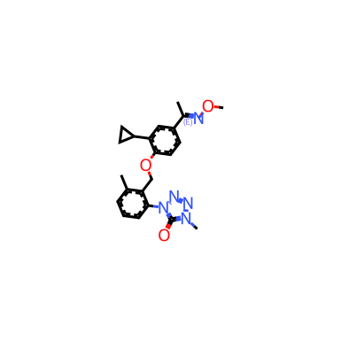 CO/N=C(\C)c1ccc(OCc2c(C)cccc2-n2nnn(C)c2=O)c(C2CC2)c1